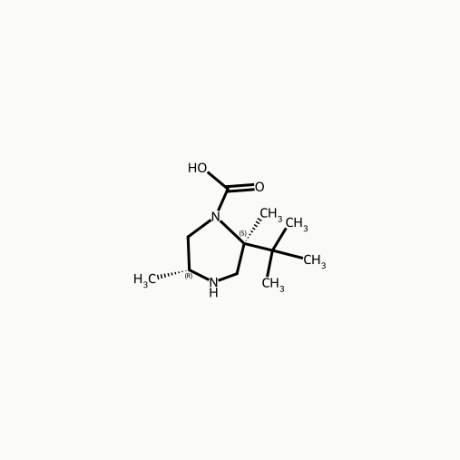 C[C@@H]1CN(C(=O)O)[C@@](C)(C(C)(C)C)CN1